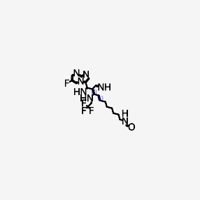 N=C/C(C(=N)c1cnc2ncc(F)cn12)=C(\C=C\CCCCCCNC=O)NCC(F)(F)F